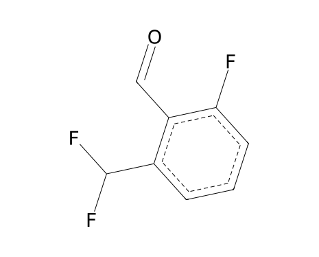 O=Cc1c(F)cccc1C(F)F